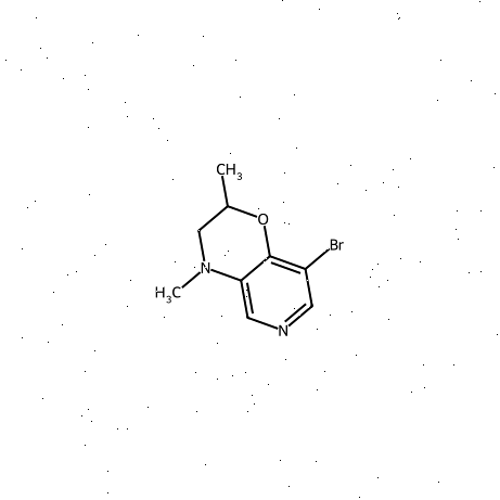 CC1CN(C)c2cncc(Br)c2O1